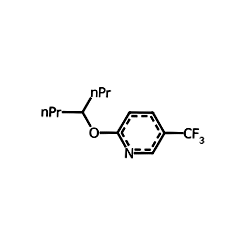 CCCC(CCC)Oc1ccc(C(F)(F)F)cn1